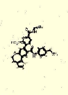 CC(C)(C)CNC(=O)c1ccc(-c2cc3c(cc2C(=O)Nc2ccc(CN)cc2)-c2sccc2CCO3)c(C(=O)O)n1